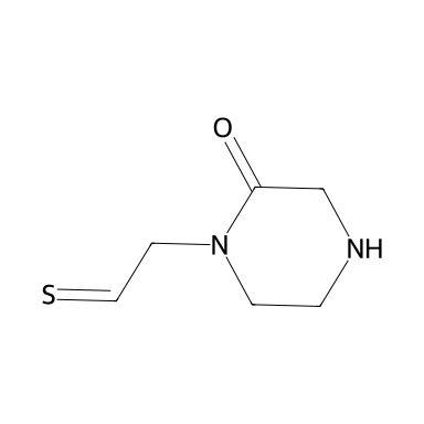 O=C1CNCCN1CC=S